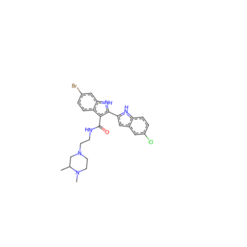 CC1CN(CCNC(=O)c2c(-c3cc4cc(Cl)ccc4[nH]3)[nH]c3cc(Br)ccc23)CCN1C